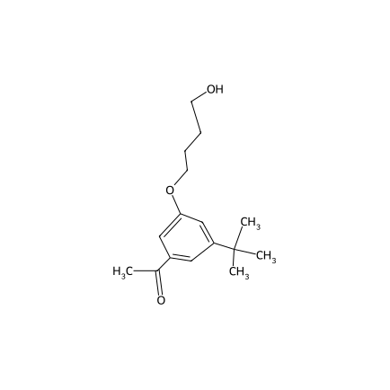 CC(=O)c1cc(OCCCCO)cc(C(C)(C)C)c1